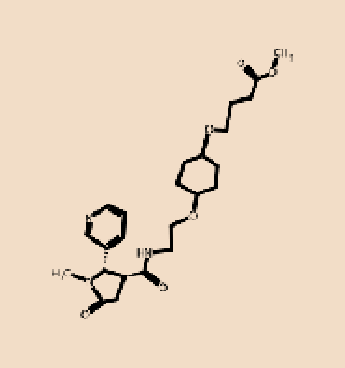 COC(=O)CCCOC1CCC(OCCNC(=O)[C@H]2CC(=O)N(C)[C@@H]2c2cccnc2)CC1